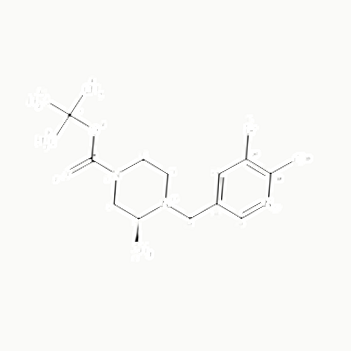 C[C@H]1CN(C(=O)OC(C)(C)C)CCN1Cc1cnc(Cl)c(Br)c1